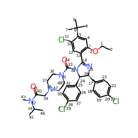 CCOc1cc(C(C)(C)C)c(Cl)cc1C1=N[C@@H](c2ccc(Cl)cc2)[C@@H](c2ccc(Cl)cc2)N1C(=O)N1CCN(CC(=O)N(C)C(C)C)CC1